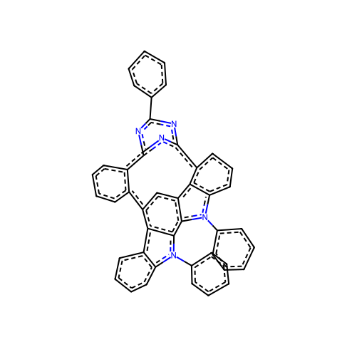 c1ccc(-c2nc3nc(n2)c2cccc4c2c2cc(c5ccccc35)c3c5ccccc5n(-c5ccccc5)c3c2n4-c2ccccc2)cc1